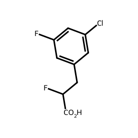 O=C(O)C(F)Cc1cc(F)cc(Cl)c1